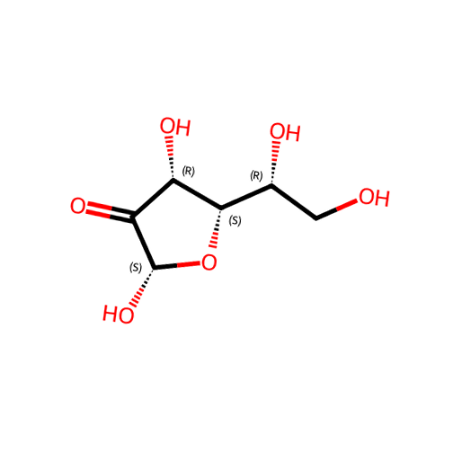 O=C1[C@@H](O)O[C@@H]([C@H](O)CO)[C@H]1O